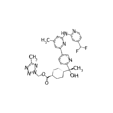 Cc1cc(Nc2cc(C(F)F)ccn2)nc(-c2ccc([C@](C)(O)[C@H]3CC[C@H](C(=O)OCn4nnc(C)n4)CC3)nc2)c1